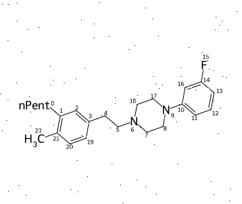 CCCCCc1cc(CCN2CCN(c3cccc(F)c3)CC2)ccc1C